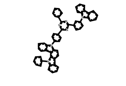 c1ccc(-c2nc(-c3ccc(-n4c5ccccc5c5c4ccc4c6ccccc6n(-c6ccccc6)c45)cc3)nc(-c3cccc(-n4c5ccccc5c5ccccc54)c3)n2)cc1